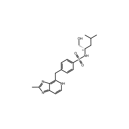 Cc1nc2cc[nH]c(Cc3ccc(S(=O)(=O)N[C@H](CO)CC(C)C)cc3)c-2n1